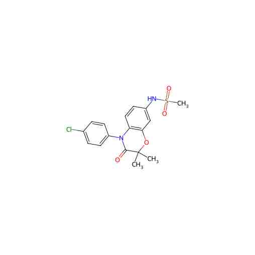 CC1(C)Oc2cc(NS(C)(=O)=O)ccc2N(c2ccc(Cl)cc2)C1=O